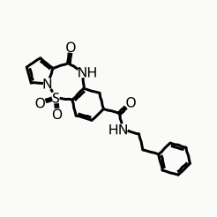 O=C1NC2=C(C=CC(C(=O)NCCc3ccccc3)C2)S(=O)(=O)n2cccc21